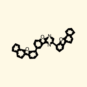 c1ccc2c(c1)ccc1c3cccc(-c4ccc5oc6ncc(-c7cccc8c7oc7c9ccccc9ccc87)nc6c5c4)c3oc21